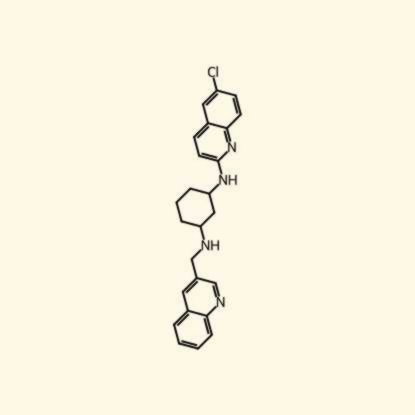 Clc1ccc2nc(NC3CCCC(NCc4cnc5ccccc5c4)C3)ccc2c1